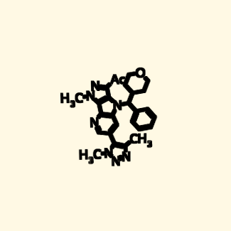 CC(=O)c1nn(C)c2c3ncc(-c4c(C)nnn4C)cc3n(C(c3ccccc3)C3CCOCC3)c12